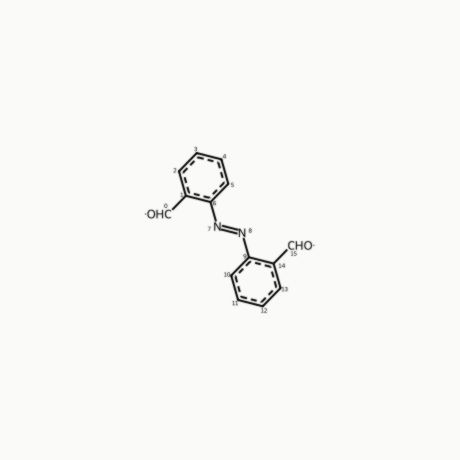 O=[C]c1ccccc1N=Nc1ccccc1[C]=O